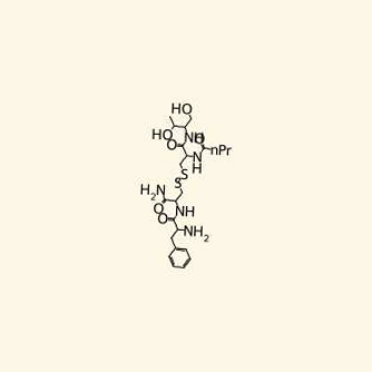 CCCC(=O)NC(CSSCC(NC(=O)C(N)Cc1ccccc1)C(N)=O)C(=O)NC(CO)C(C)O